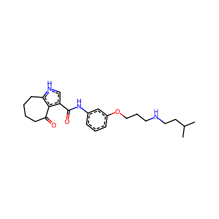 CC(C)CCNCCCOc1cccc(NC(=O)c2c[nH]c3c2C(=O)CCCC3)c1